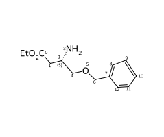 CCOC(=O)C[C@H](N)COCc1ccccc1